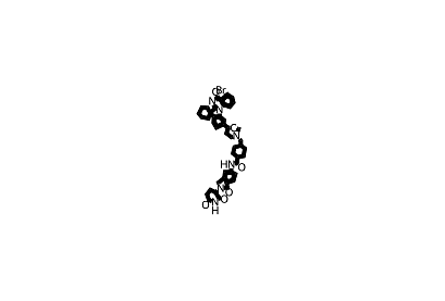 O=C1CCC(N2Cc3cc(NC(=O)C4CCC(CN5CCC(c6ccc7c(c6)-n6c(nc(=O)c8c(Br)cccc86)C76CCCCC6)CC5)CC4)ccc3C2=O)C(=O)N1